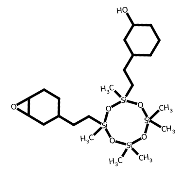 C[Si]1(C)O[Si](C)(C)O[Si](C)(CCC2CCC3OC3C2)O[Si](C)(CCC2CCCC(O)C2)O1